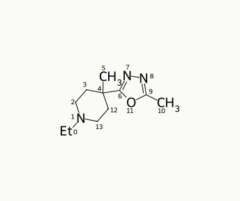 CCN1CCC(C)(c2nnc(C)o2)CC1